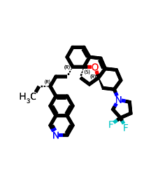 CC[C@H](CC[C@@H]1CCC=C2C=C3CCC(N4CCC(F)(F)C4)C[C@]34CC[C@@]21O4)c1ccc2ccncc2c1